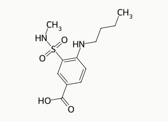 CCCCNc1ccc(C(=O)O)cc1S(=O)(=O)NC